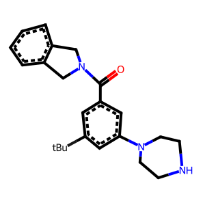 CC(C)(C)c1cc(C(=O)N2Cc3ccccc3C2)cc(N2CCNCC2)c1